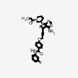 C=CC(=O)N1CCC[C@@H](n2nc(C#CCOc3ccc(C(=O)Nc4cccc(F)c4)cc3)c3c(N)ncnc32)C1